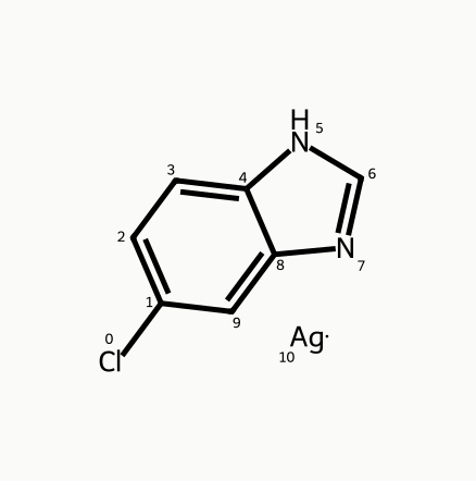 Clc1ccc2[nH]cnc2c1.[Ag]